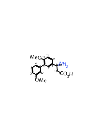 COc1cccc(-c2cc(C(N)CC(=O)O)ccc2OC)c1